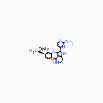 CC#Cc1cccc(Nc2c(-c3ccnc(N)n3)[nH]c3c2C(=O)NCC3)c1OC